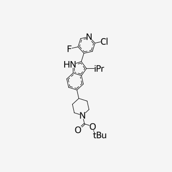 CC(C)c1c(-c2cc(Cl)ncc2F)[nH]c2ccc(C3CCN(C(=O)OC(C)(C)C)CC3)cc12